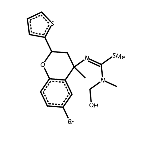 CS/C(=N/C1(C)CC(c2cccs2)Oc2ccc(Br)cc21)N(C)CO